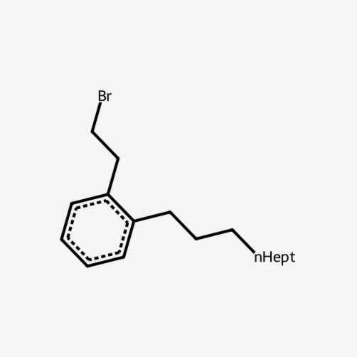 CCCCCCCCCCc1ccccc1CCBr